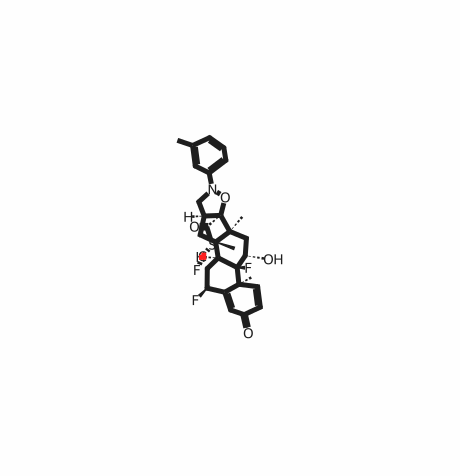 Cc1cccc(N2C[C@@H]3C[C@@]4(C)[C@@H]5C[C@H](F)C6=CC(=O)C=C[C@]6(C)[C@@]5(F)[C@@H](O)C[C@]4(C)[C@]3(C(=O)SCF)O2)c1